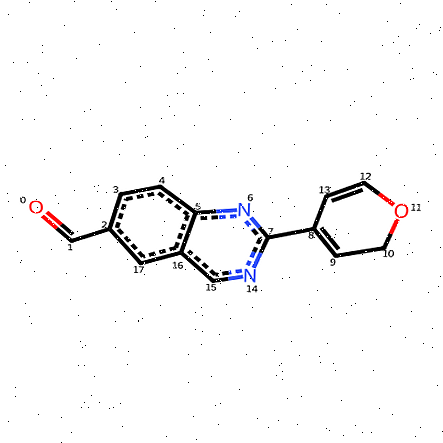 O=Cc1ccc2nc(C3=CCOC=C3)ncc2c1